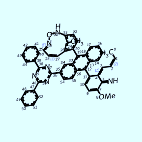 C/C=C\C=C1/C(=N)C(OC)=CC=C1c1c2ccccc2c(-c2ccc3c(C)c2/C=C\C=N\ON3)c2cc(-c3nc(-c4ccccc4)nc(-c4ccccc4)n3)ccc12